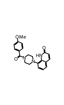 COc1ccc(C(=O)N2CCN(c3cccc4ccc(=O)[nH]c34)CC2)cc1